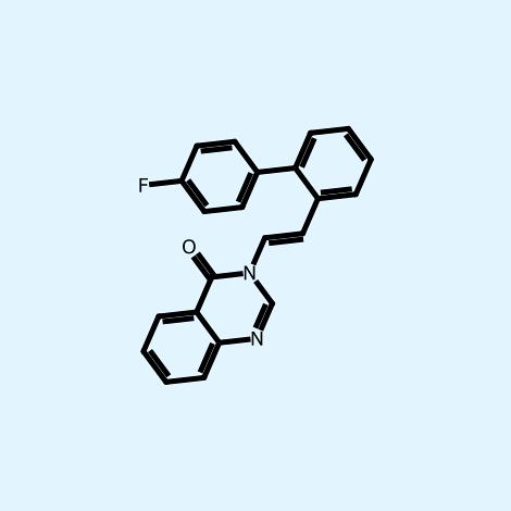 O=c1c2ccccc2ncn1C=Cc1ccccc1-c1ccc(F)cc1